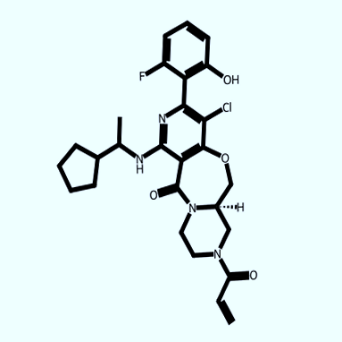 C=CC(=O)N1CCN2C(=O)c3c(NC(C)C4CCCC4)nc(-c4c(O)cccc4F)c(Cl)c3OC[C@H]2C1